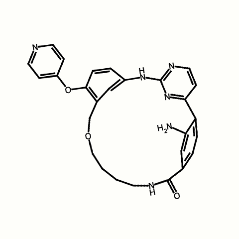 Nc1cc2ccc1-c1ccnc(n1)Nc1ccc(Oc3ccncc3)c(c1)COCCCCNC2=O